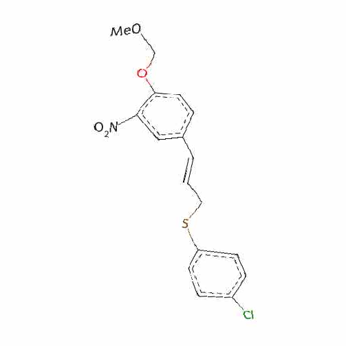 COCOc1ccc(C=CCSc2ccc(Cl)cc2)cc1[N+](=O)[O-]